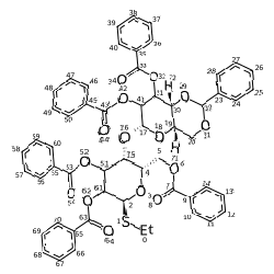 CCS[C@@H]1O[C@@H](COC(=O)c2ccccc2)[C@@H](O[C@H]2O[C@H]3COC(c4ccccc4)O[C@H]3C(OC(=O)c3ccccc3)C2OC(=O)c2ccccc2)C(OC(=O)c2ccccc2)C1OC(=O)c1ccccc1